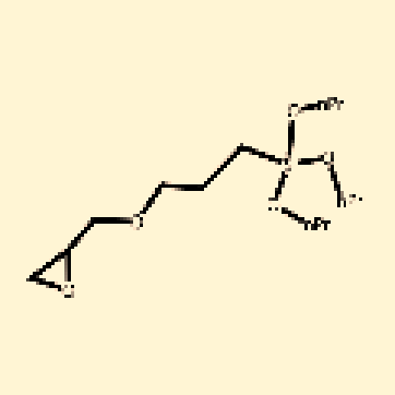 CCCO[Si](CCCOCC1CO1)(OCCC)OCCC